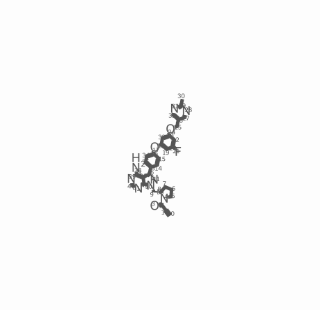 C#CC(=O)N1CCC[C@@H]1Cn1nc(-c2ccc(Oc3cc(F)cc(OCc4cnc(C)nc4)c3)cc2)c2c(N)ncnc21